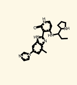 CCC(Nc1cc[nH]c(=O)c1-c1nc2c(C)cc(-n3ccnc3)cc2[nH]1)C1CCCN1